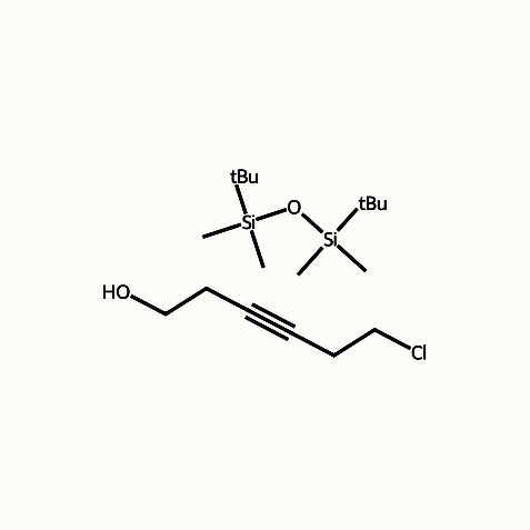 CC(C)(C)[Si](C)(C)O[Si](C)(C)C(C)(C)C.OCCC#CCCCl